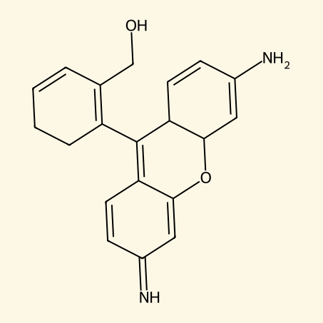 N=C1C=CC2=C(C3=C(CO)C=CCC3)C3C=CC(N)=CC3OC2=C1